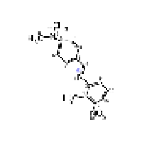 Cc1c(/N=C/c2ccc(N(C)C)cc2)cccc1[N+](=O)[O-]